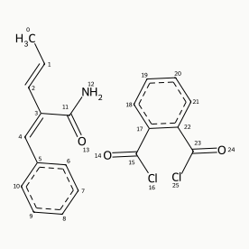 CC=CC(=Cc1ccccc1)C(N)=O.O=C(Cl)c1ccccc1C(=O)Cl